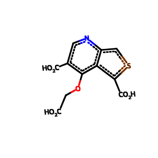 O=C(O)COc1c(C(=O)O)cnc2csc(C(=O)O)c12